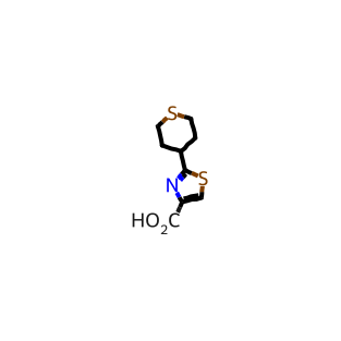 O=C(O)c1csc(C2CCSCC2)n1